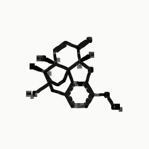 COc1ccc2c3c1O[C@H]1C(=O)C=C[C@@]4(O)[C@@H](C2)C(C)CCC314